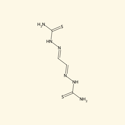 NC(=S)NN=CC=NNC(N)=S